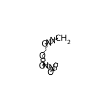 C=CCN1CCN(C(=O)CCCCCOc2ccc(C(=O)N3CCC(N4C(=O)CCc5ccccc54)CC3)cc2)CC1